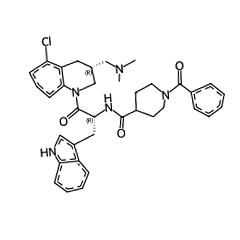 CN(C)C[C@H]1Cc2c(Cl)cccc2N(C(=O)[C@@H](Cc2c[nH]c3ccccc23)NC(=O)C2CCN(C(=O)c3ccccc3)CC2)C1